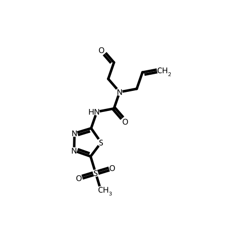 C=CCN(CC=O)C(=O)Nc1nnc(S(C)(=O)=O)s1